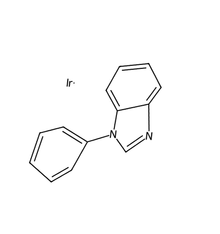 [Ir].c1ccc(-n2cnc3ccccc32)cc1